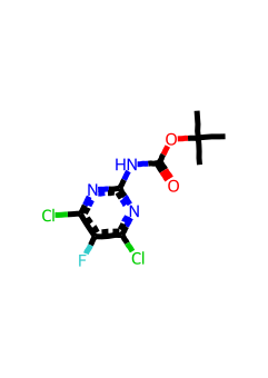 CC(C)(C)OC(=O)Nc1nc(Cl)c(F)c(Cl)n1